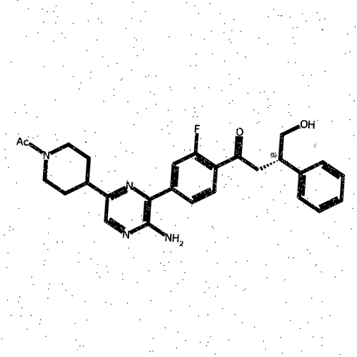 CC(=O)N1CCC(c2cnc(N)c(-c3ccc(C(=O)C[C@H](CO)c4ccccc4)c(F)c3)n2)CC1